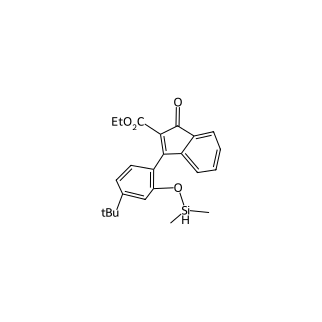 CCOC(=O)C1=C(c2ccc(C(C)(C)C)cc2O[SiH](C)C)c2ccccc2C1=O